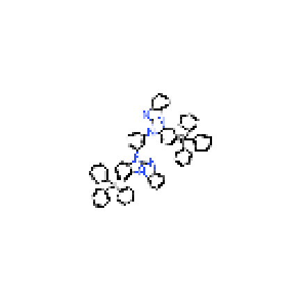 c1ccc([Si](c2ccccc2)(c2ccccc2)c2ccc3c(c2)n2c4ccccc4nc2n3-c2cccc(-n3c4ccc([Si](c5ccccc5)(c5ccccc5)c5ccccc5)cc4n4c5ccccc5nc34)c2)cc1